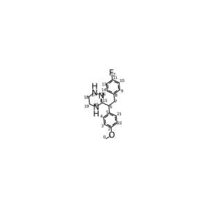 COc1ccc(C(Cc2ccc(F)cc2)C2=NNCCN2)cc1